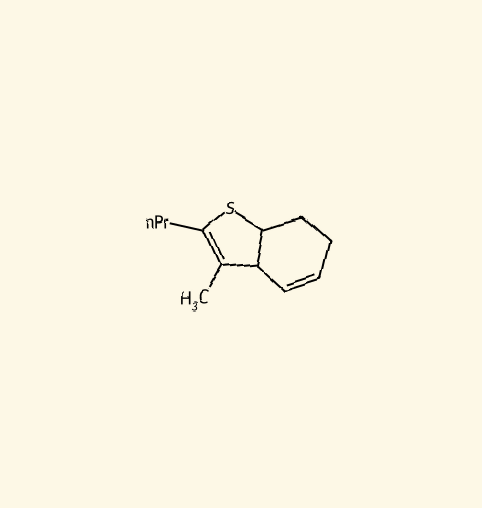 CCCC1=C(C)C2C=CCCC2S1